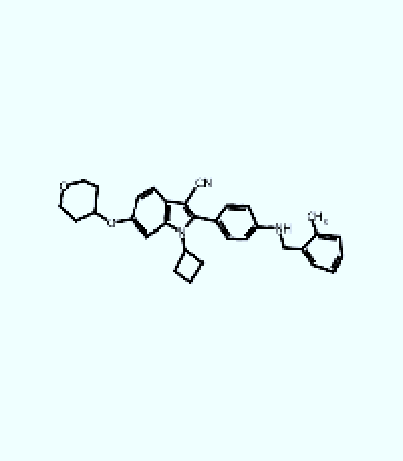 Cc1ccccc1CNc1ccc(-c2c(C#N)c3ccc(OC4CCOCC4)cc3n2C2CCC2)cc1